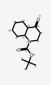 CC(C)(C)OC(=O)N1CCC(=O)C2CCCCC21